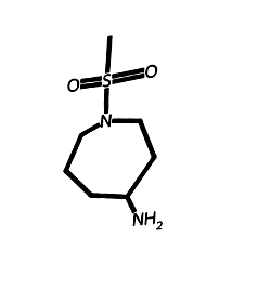 CS(=O)(=O)N1CCCC(N)CC1